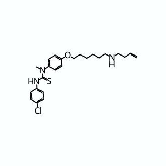 C=CCCNCCCCCCOc1ccc(N(C)C(=S)Nc2ccc(Cl)cc2)cc1